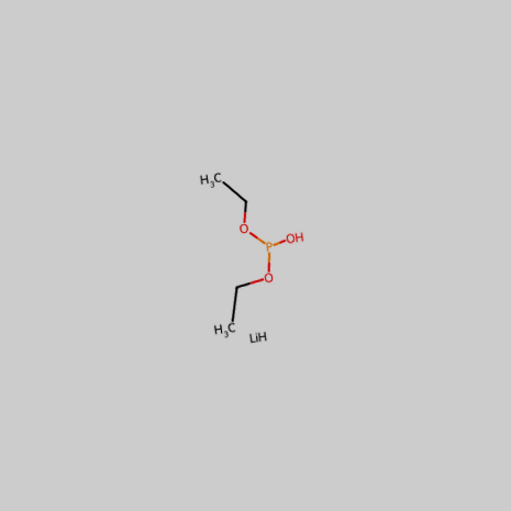 CCOP(O)OCC.[LiH]